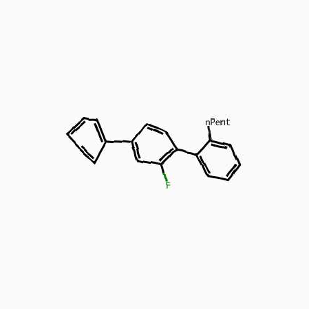 CCCCCc1ccccc1-c1ccc(-c2ccccc2)cc1F